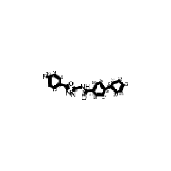 O=C(Nc1nnc(-c2ccc(F)cc2)o1)c1ccc(-c2ccccc2)cc1